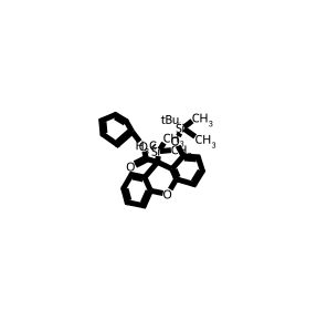 CC(C)(C)[Si](C)(C)Oc1cccc2c1C(C(=O)Oc1ccccc1)([Si](C)(C)C)c1ccccc1O2